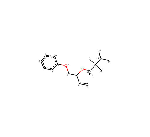 [CH]=CC(COc1ccccc1)O[SiH2]C(C)(C)C(C)C